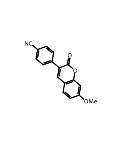 COc1ccc2cc(-c3ccc(C#N)cc3)c(=O)oc2c1